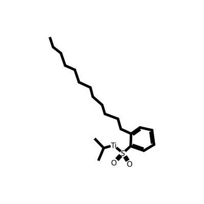 CCCCCCCCCCCCc1ccccc1[S](=O)(=O)[Ti][CH](C)C